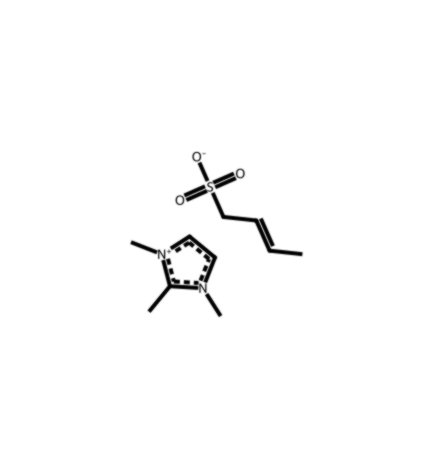 CC=CCS(=O)(=O)[O-].Cc1n(C)cc[n+]1C